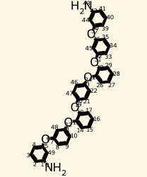 Nc1cccc(Oc2cccc(Oc3ccccc3Oc3ccc(Oc4ccccc4Oc4cccc(Oc5cccc(N)c5)c4)cc3)c2)c1